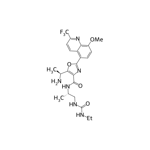 CCNC(=O)NC[C@H](C)NC(=O)c1nc(-c2ccc(OC)c3nc(C(F)(F)F)ccc23)oc1[C@H](C)N